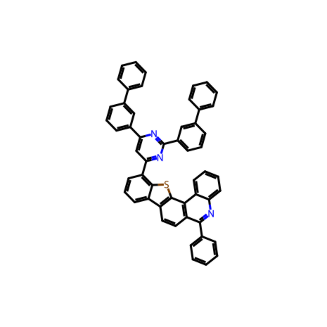 c1ccc(-c2cccc(-c3cc(-c4cccc5c4sc4c5ccc5c(-c6ccccc6)nc6ccccc6c54)nc(-c4cccc(-c5ccccc5)c4)n3)c2)cc1